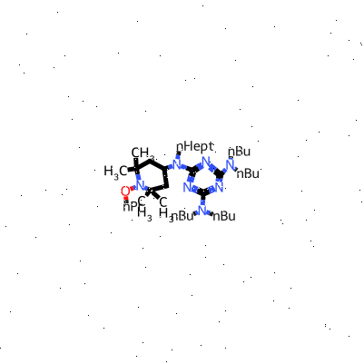 CCCCCCCN(c1nc(N(CCCC)CCCC)nc(N(CCCC)CCCC)n1)C1CC(C)(C)N(OCCC)C(C)(C)C1